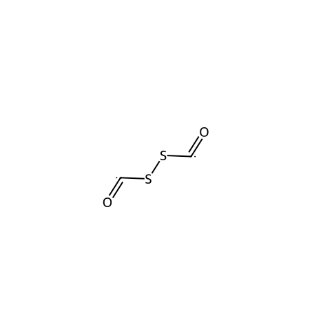 O=[C]SS[C]=O